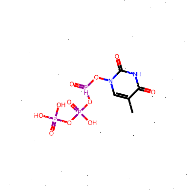 Cc1cn(O[PH](=O)OP(=O)(O)OP(=O)(O)O)c(=O)[nH]c1=O